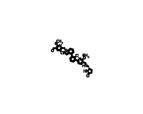 COc1nc(Cn2ncc3c(-c4cccc(-c5ccc(CNC[C@@H]6CCC(=O)N6)c(OC)n5)c4Cl)cccc32)c(Cl)cc1C=O